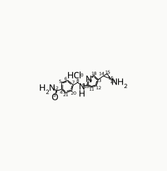 Cl.NC(=O)c1ccc(CNc2ccc(C3CC3N)cn2)cc1